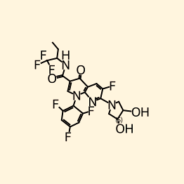 CCC(NC(=O)c1cn(-c2c(F)cc(F)cc2F)c2nc(N3CC(O)[C@@H](O)C3)c(F)cc2c1=O)C(F)(F)F